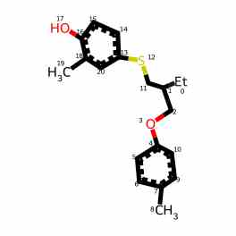 CCC(COc1ccc(C)cc1)CSc1ccc(O)c(C)c1